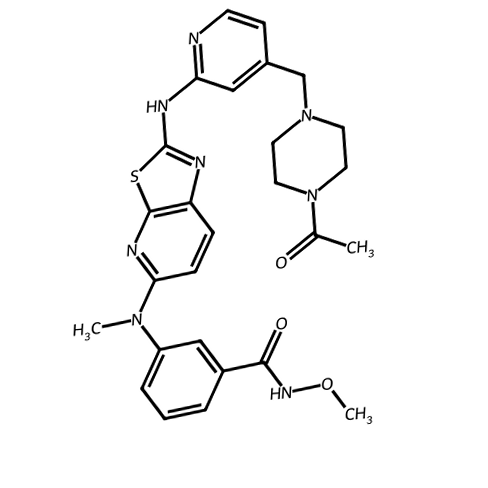 CONC(=O)c1cccc(N(C)c2ccc3nc(Nc4cc(CN5CCN(C(C)=O)CC5)ccn4)sc3n2)c1